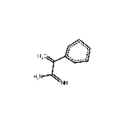 C=C(C(=N)N)c1ccccc1